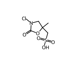 CC1(CS(=O)(=O)O)CN(Cl)C(=O)O1